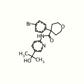 CC(C)(O)c1ccc(NC(=O)C2(c3ccc(Br)cc3)CCOCC2)nc1